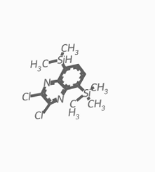 C[SiH](C)c1ccc([Si](C)(C)C)c2nc(Cl)c(Cl)nc12